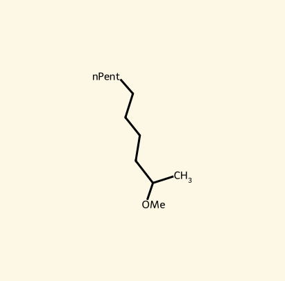 [CH2]CCCCCCCCC(C)OC